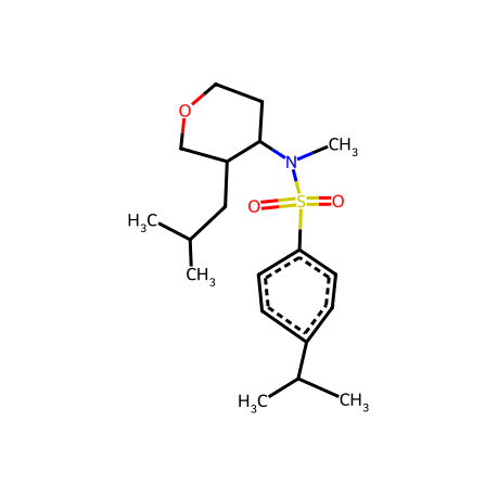 CC(C)CC1COCCC1N(C)S(=O)(=O)c1ccc(C(C)C)cc1